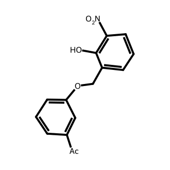 CC(=O)c1cccc(OCc2cccc([N+](=O)[O-])c2O)c1